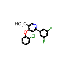 O=C(O)c1cnc(-c2cc(F)cc(F)c2)cc1Oc1ccccc1Cl